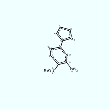 CCOC(=O)c1cnc(-c2cccs2)nc1N